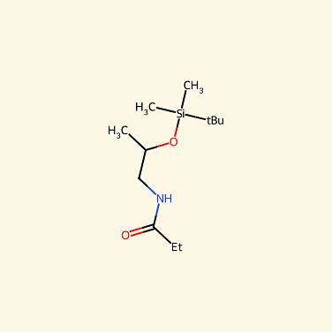 CCC(=O)NCC(C)O[Si](C)(C)C(C)(C)C